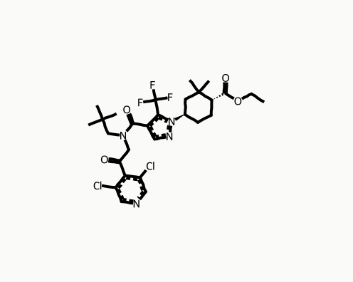 CCOC(=O)[C@@H]1CC[C@@H](n2ncc(C(=O)N(CC(=O)c3c(Cl)cncc3Cl)CC(C)(C)C)c2C(F)(F)F)CC1(C)C